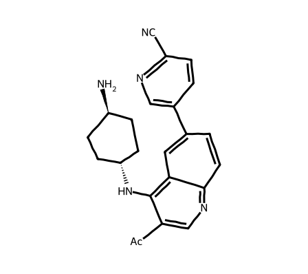 CC(=O)c1cnc2ccc(-c3ccc(C#N)nc3)cc2c1N[C@H]1CC[C@H](N)CC1